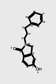 O=C1c2ccc(O)cc2CN1CCCc1ccccc1